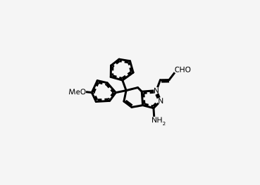 COc1ccc(C2(c3ccccc3)C=Cc3c(N)nn(C=CC=O)c3C2)cc1